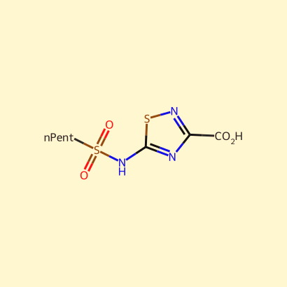 CCCCCS(=O)(=O)Nc1nc(C(=O)O)ns1